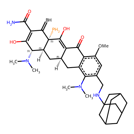 B=C1C(C(N)=O)=C(O)[C@@H](N(C)C)[C@@H]2C[C@@H]3Cc4c(c(OC)cc(CNC56CC7CC(CC(C7)C5)C6)c4N(C)C)C(=O)C3=C(O)[C@]12P